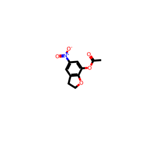 CC(=O)Oc1cc([N+](=O)[O-])cc2c1OCC2